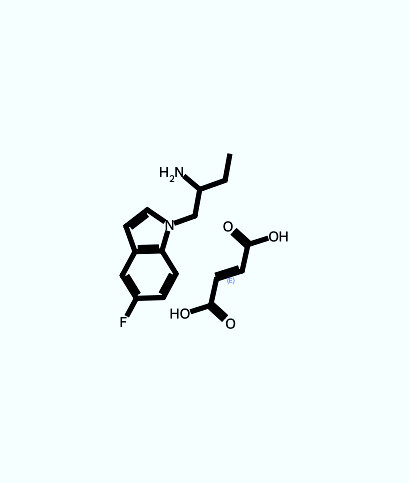 CCC(N)Cn1ccc2cc(F)ccc21.O=C(O)/C=C/C(=O)O